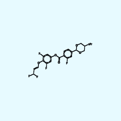 CCCC1COC(c2ccc(C(=O)Oc3cc(F)c(O/C=C/C(F)F)c(F)c3)c(F)c2)OC1